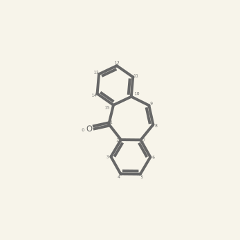 O=c1c2ccccc2[c]cc2ccccc12